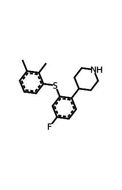 Cc1cccc(Sc2cc(F)ccc2C2CCNCC2)c1C